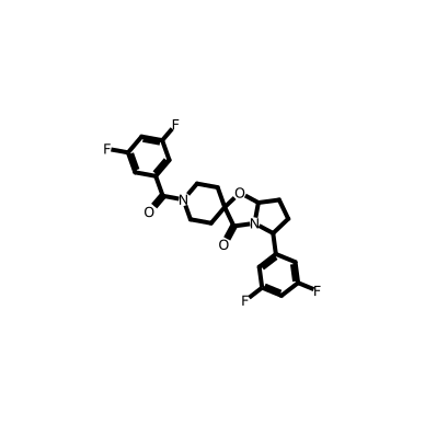 O=C(c1cc(F)cc(F)c1)N1CCC2(CC1)OC1CCC(c3cc(F)cc(F)c3)N1C2=O